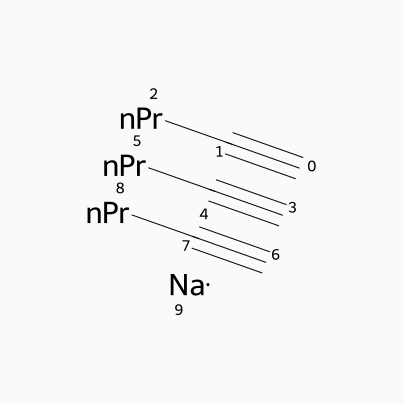 C#CCCC.C#CCCC.C#CCCC.[Na]